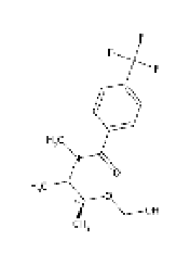 CC([C@H](C)OCO)N(C)C(=O)c1ccc(C(F)(F)F)cc1